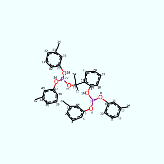 Cc1cccc(OP(Oc2cccc(C)c2)Oc2ccccc2C(C)(C)OP(Oc2cccc(C)c2)Oc2cccc(C)c2)c1